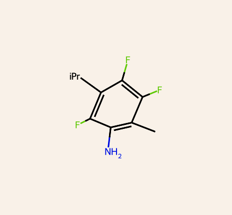 Cc1c(N)c(F)c(C(C)C)c(F)c1F